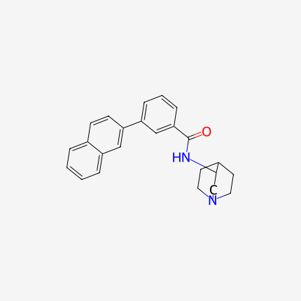 O=C(NC1CN2CCC1CC2)c1cccc(-c2ccc3ccccc3c2)c1